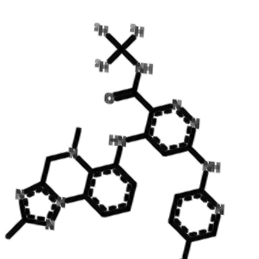 [2H]C([2H])([2H])NC(=O)c1nnc(Nc2ccc(F)cn2)cc1Nc1cccc2c1N(C)Cc1nc(C)nn1-2